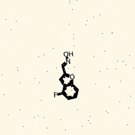 O/N=C/c1cc2c(F)cccc2o1